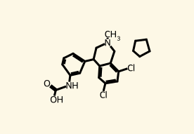 C1CCCC1.CN1Cc2c(Cl)cc(Cl)cc2C(c2cccc(NC(=O)O)c2)C1